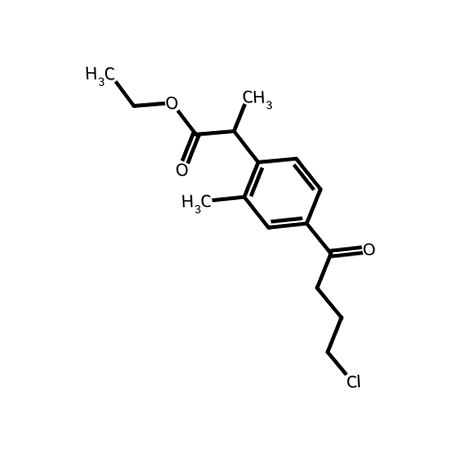 CCOC(=O)C(C)c1ccc(C(=O)CCCCl)cc1C